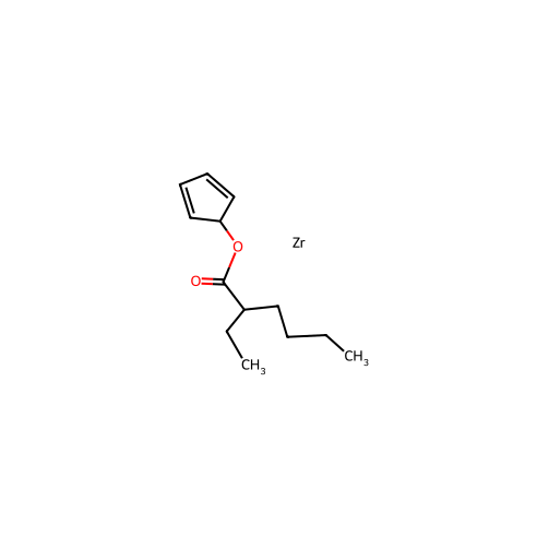 CCCCC(CC)C(=O)OC1C=CC=C1.[Zr]